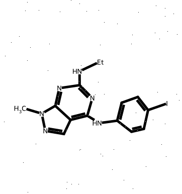 CCNc1nc(Nc2ccc(I)cc2)c2cnn(C)c2n1